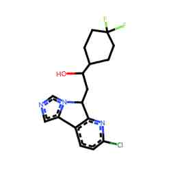 OC(CC1c2nc(Cl)ccc2-c2cncn21)C1CCC(F)(F)CC1